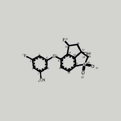 N#Cc1cc(F)cc(Oc2ccc3c4c2C(F)CC4(O)CS3(=O)=O)c1